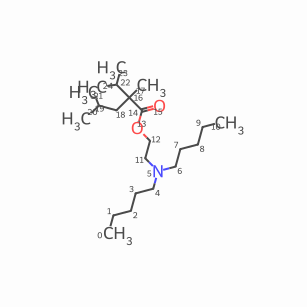 CCCCCN(CCCCC)CCOC(=O)C(C)(CC(C)C)C(C)C